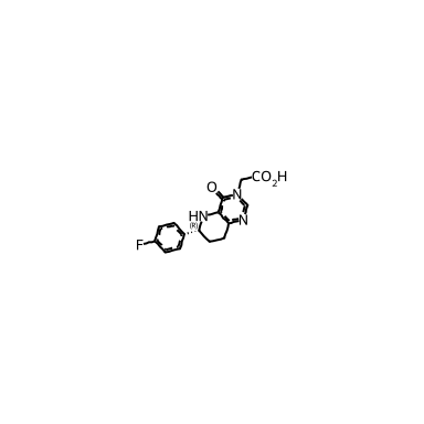 O=C(O)Cn1cnc2c(c1=O)N[C@@H](c1ccc(F)cc1)CC2